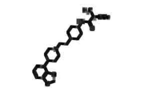 CO[C@H](C)C(=O)NC1CCC(CCN2CCC(c3cccc4c3OCO4)CC2)CC1